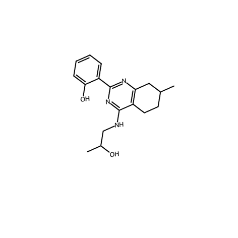 CC(O)CNc1nc(-c2ccccc2O)nc2c1CCC(C)C2